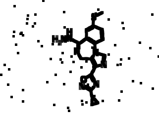 CSc1ccc2c(c1)C(NN)=NCc1c(-c3nc(C4CC4)no3)ncn1-2